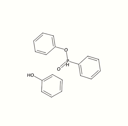 O=[PH](Oc1ccccc1)c1ccccc1.Oc1ccccc1